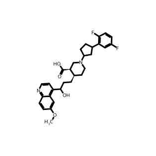 COc1ccc2nccc(C(O)CC[C@@H]3CCN(C4CCC(c5cc(F)ccc5F)C4)C[C@@H]3C(=O)O)c2c1